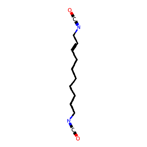 O=C=NCC=CCCCCCCCN=C=O